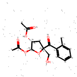 CC(=O)O[C@@H]1O[C@@](CO)(C(=O)c2ccccc2C)C[C@H]1OC(C)=O